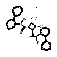 CC(C)N(C(=O)[C@@H]1[C@H](C(=O)O)[C@@H](C(=O)O)[C@H]1C(=O)N(c1ccccc1-c1ccccc1)C(C)C)c1ccccc1-c1ccccc1